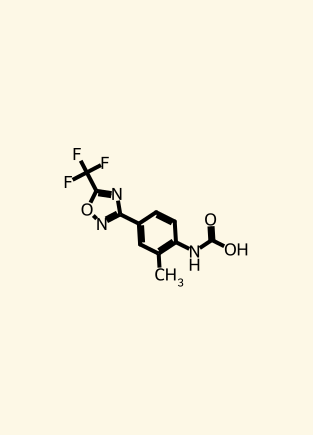 Cc1cc(-c2noc(C(F)(F)F)n2)ccc1NC(=O)O